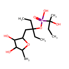 BC1OC(CC(CC)(CC)OP(=O)(O)C(C)(O)CC)C(O)C1O